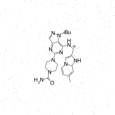 CCC(C)n1ncc2nc(N3CCN(C(N)=O)CC3)nc(N[C@H](C)C3=CN4C=CC(C)=CC4N3)c21